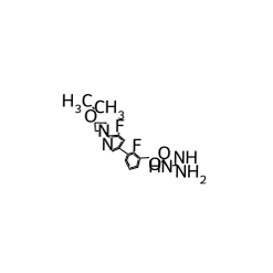 CC(C)OC1CN(c2ncc(-c3cccc(COC(=O)NC(=N)N)c3F)cc2F)C1